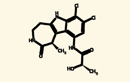 C[C@H](O)C(=O)Nc1cc(Cl)c(Cl)c2[nH]c3c(c12)[C@@H](C)C(=O)NCC3